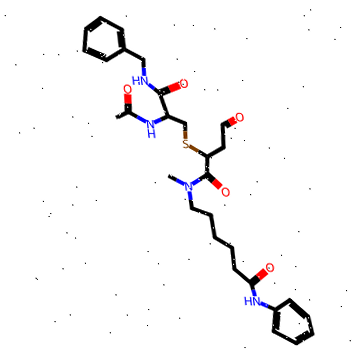 CC(=O)NC(CSC(CC=O)C(=O)N(C)CCCCCC(=O)Nc1ccccc1)C(=O)NCc1ccccc1